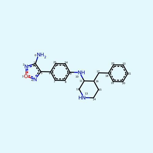 Nc1nonc1-c1ccc(NC2CNCCC2Cc2ccccc2)cc1